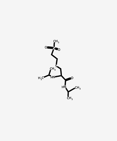 CC(C)NC(=O)C(CSCCS(C)(=O)=O)NC(C)C